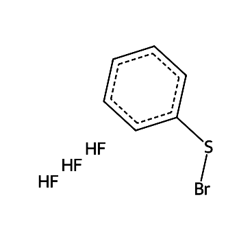 BrSc1ccccc1.F.F.F